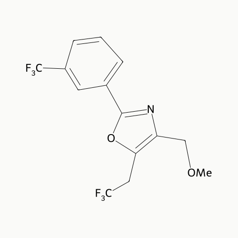 COCc1nc(-c2cccc(C(F)(F)F)c2)oc1CC(F)(F)F